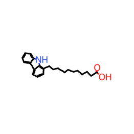 O=C(O)CCCCCCCCCCc1cccc2c1[nH]c1ccccc12